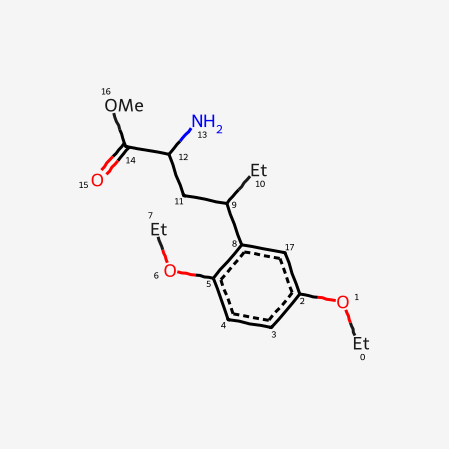 CCOc1ccc(OCC)c(C(CC)CC(N)C(=O)OC)c1